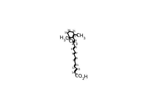 CC1=C(C=CC=CC=CC=CC=CC=CC(=O)O)C(C)(C)CCC1